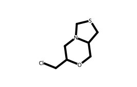 ClCC1CN2CSCC2CO1